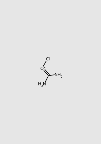 NC(N)=[O+]Cl